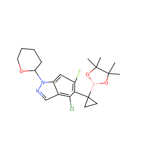 CC1(C)OB(C2(c3c(F)cc4c(cnn4C4CCCCO4)c3Cl)CC2)OC1(C)C